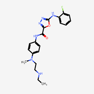 CCNCCN(C)c1ccc(NC(=O)c2nnc(Nc3ccccc3F)o2)cc1